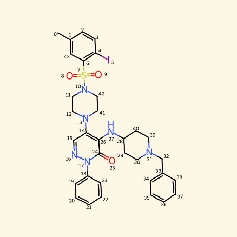 Cc1ccc(I)c(S(=O)(=O)N2CCN(c3cnn(-c4ccccc4)c(=O)c3NC3CCN(Cc4ccccc4)CC3)CC2)c1